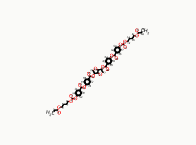 C=CC(=O)OCCCCOC(=O)Oc1ccc(C(=O)Oc2ccc(C(=O)O[C@H]3COC4C3OC[C@H]4OC(=O)c3ccc(OC(=O)c4ccc(OC(=O)OCCCCOC(=O)C=C)cc4)cc3)cc2)cc1